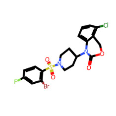 O=C1OCc2c(Cl)cccc2N1C1CCN(S(=O)(=O)c2ccc(F)cc2Br)CC1